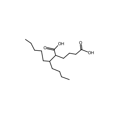 CCCCCC(CCCC)C(CCCC(=O)O)C(=O)O